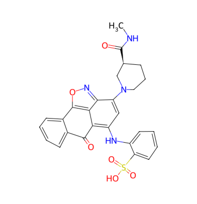 CNC(=O)[C@H]1CCCN(c2cc(Nc3ccccc3S(=O)(=O)O)c3c4c(onc24)-c2ccccc2C3=O)C1